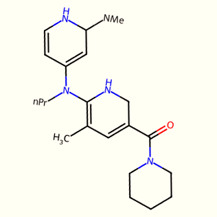 CCCN(C1=CC(NC)NC=C1)C1=C(C)C=C(C(=O)N2CCCCC2)CN1